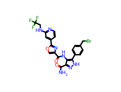 NC(=O)c1n[nH]c(-c2ccc(CBr)cc2)c1NC(=O)c1coc(-c2ccnc(NCC(F)(F)F)c2)n1